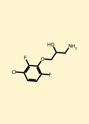 NCC(O)COc1c(F)ccc(Cl)c1F